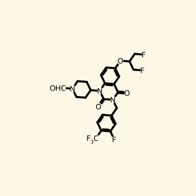 O=CN1CCC(n2c(=O)n(Cc3ccc(C(F)(F)F)c(F)c3)c(=O)c3cc(OC(CF)CF)ccc32)CC1